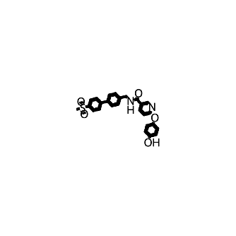 CS(=O)(=O)c1ccc(-c2ccc(CNC(=O)c3ccc(Oc4ccc(O)cc4)nc3)cc2)cc1